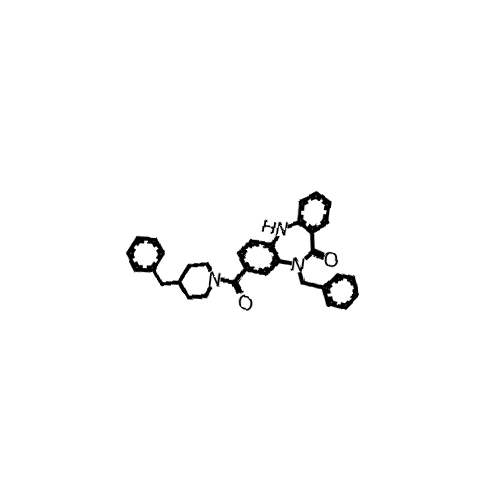 O=C(c1ccc2c(c1)N(Cc1ccccc1)C(=O)c1ccccc1N2)N1CCC(Cc2ccccc2)CC1